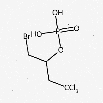 O=P(O)(O)OC(CBr)CC(Cl)(Cl)Cl